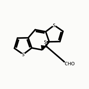 O=CC1C=C2c3sccc3C=C3SC=CC32S1